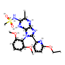 CCOc1cccc(-c2nc3nc(C)c(NS(C)(=O)=O)nc3n2-c2c(OC)cccc2OC)n1